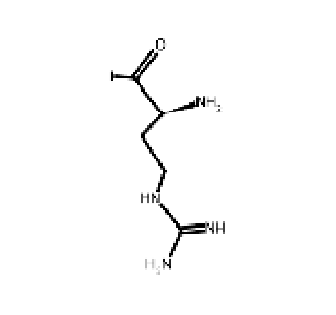 N=C(N)NCC[C@H](N)C(=O)I